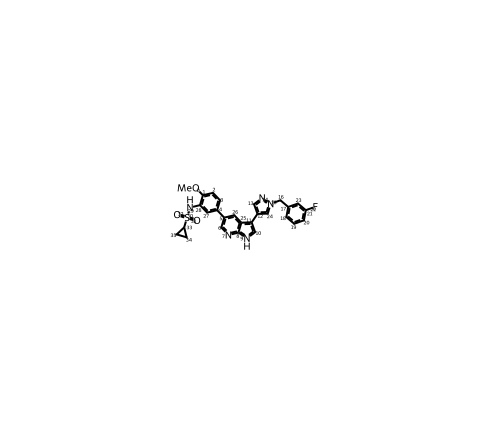 COc1ccc(-c2cnc3[nH]cc(-c4cnn(Cc5cccc(F)c5)c4)c3c2)cc1NS(=O)(=O)C1CC1